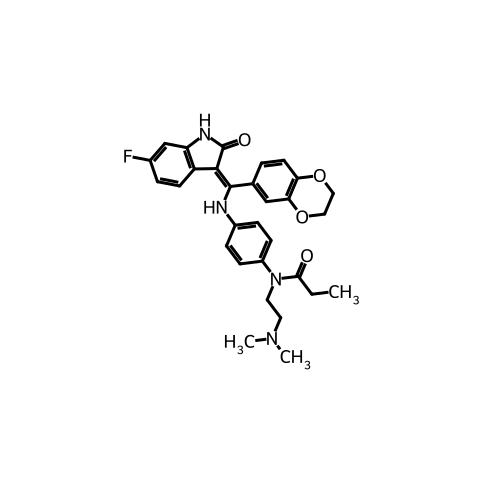 CCC(=O)N(CCN(C)C)c1ccc(NC(=C2C(=O)Nc3cc(F)ccc32)c2ccc3c(c2)OCCO3)cc1